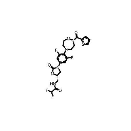 O=C(NC[C@H]1CN(c2cc(F)c(N3CCON(C(=O)c4cccs4)CC3)c(F)c2)C(=O)O1)C(F)F